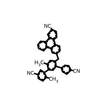 Cc1ccc(C#N)cc1-c1cc(-c2ccc(C#N)cc2)c(Cc2ccc3c4ccc(C#N)cc4c4ccccc4c3c2)cc1C